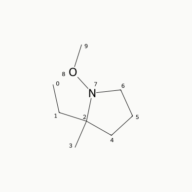 CCC1(C)CCCN1OC